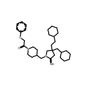 N=C1CC(CCC2CCCCC2)(CC2CCCCC2)CN1CC1CCN(C(=O)COc2ccccc2)CC1